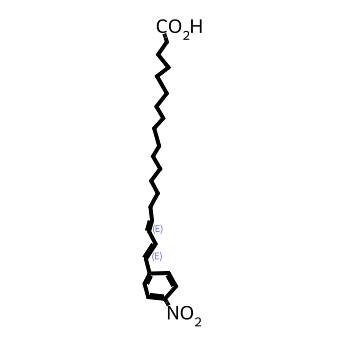 O=C(O)CCCCCCCCCCCCCC/C=C/C=C/c1ccc([N+](=O)[O-])cc1